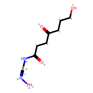 O=C(CCCO)CCC(=O)N/B=N/P